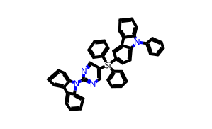 c1ccc(-n2c3ccccc3c3cc([Si](c4ccccc4)(c4ccccc4)c4cnc(-n5c6ccccc6c6ccccc65)nc4)ccc32)cc1